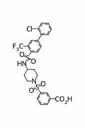 O=C(O)c1cccc(S(=O)(=O)N2CCC(NS(=O)(=O)c3ccc(-c4ccccc4Cl)cc3C(F)(F)F)CC2)c1